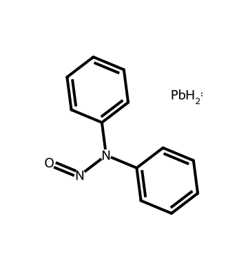 O=NN(c1ccccc1)c1ccccc1.[PbH2]